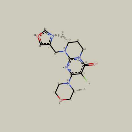 C[C@@H]1COCCN1c1nc2n(c(=O)c1F)CC[C@@H](C(F)(F)F)N2Cc1cocn1